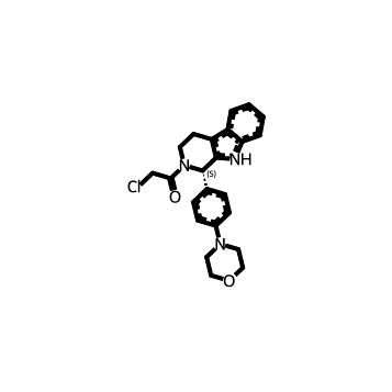 O=C(CCl)N1CCc2c([nH]c3ccccc23)[C@@H]1c1ccc(N2CCOCC2)cc1